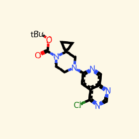 CC(C)(C)OC(=O)N1CCN(c2cc3c(Cl)ncnc3cn2)CC12CC2